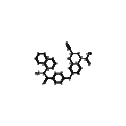 CN(C(=O)c1ccc(Oc2ccc3c(c2)OC(C#N)CC3C(=O)O)cc1)c1cccc2ccccc12